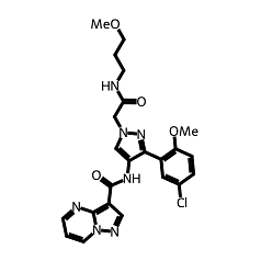 COCCCNC(=O)Cn1cc(NC(=O)c2cnn3cccnc23)c(-c2cc(Cl)ccc2OC)n1